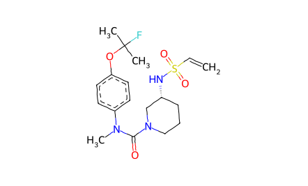 C=CS(=O)(=O)N[C@@H]1CCCN(C(=O)N(C)c2ccc(OC(C)(C)F)cc2)C1